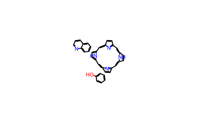 C1=Cc2cc3ccc(cc4nc(cc5ccc(cc1n2)[nH]5)C=C4)[nH]3.Oc1ccccc1.c1ccc2ncccc2c1